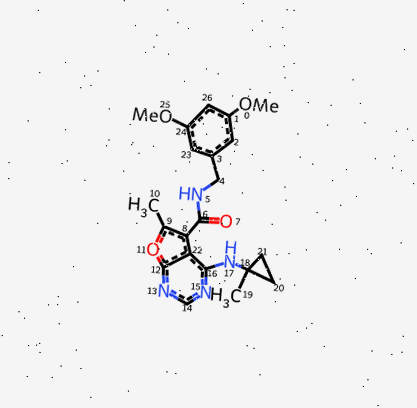 COc1cc(CNC(=O)c2c(C)oc3ncnc(NC4(C)CC4)c23)cc(OC)c1